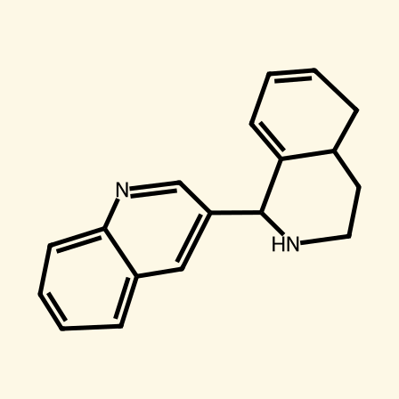 C1=CCC2CCNC(c3cnc4ccccc4c3)C2=C1